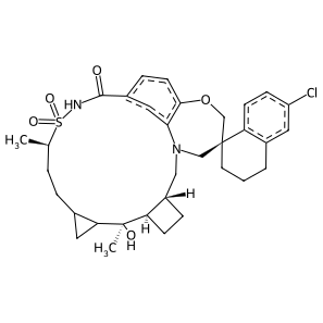 C[C@@H]1CCC2CC2[C@](C)(O)[C@@H]2CC[C@H]2CN2C[C@@]3(CCCc4cc(Cl)ccc43)COc3ccc(cc32)C(=O)NS1(=O)=O